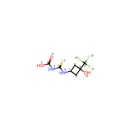 O=C(O)NC(=S)NC1CC(O)(C(F)(F)F)C1